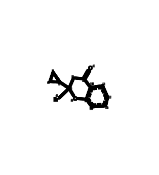 O=C1CC(Br)(C2CC2)Oc2ccccc21